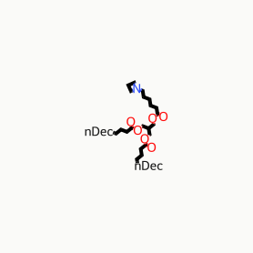 CCCCCCCCCCCCCC(=O)OCC(COC(=O)CCCCCCCCCCCCC)COC(=O)CCCCCN1CCC1